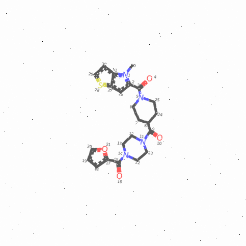 Cn1c(C(=O)N2CCC(C(=O)N3CCN(C(=O)c4ccco4)CC3)CC2)cc2sccc21